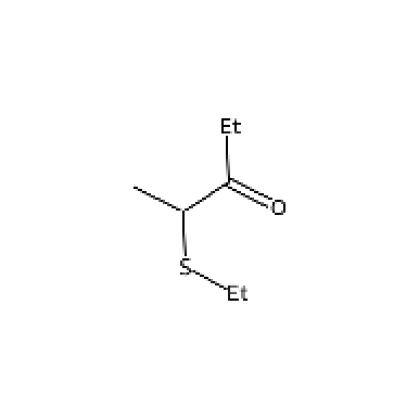 CCSC(C)C(=O)CC